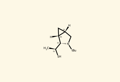 C[C@H](S)[C@@H]1[C@@H]2C[C@@H]2CN1C(C)(C)C